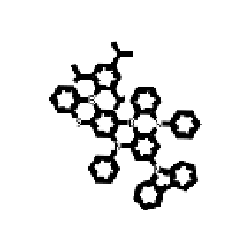 CC(C)c1cc(C(C)C)c(B2c3ccccc3Sc3cc4c(cc32)B2c3ccccc3N(c3ccccc3)c3cc(-n5c6ccccc6c6ccccc65)cc(c32)N4c2ccccc2)c(C(C)C)c1